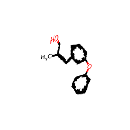 CC(=Cc1cccc(Oc2ccccc2)c1)CO